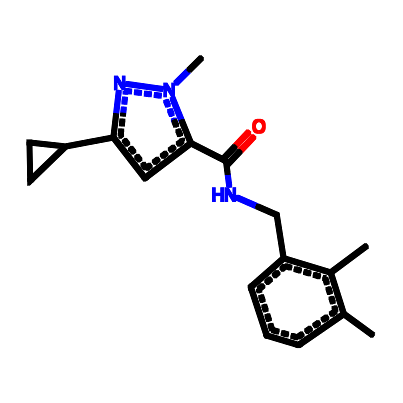 Cc1cccc(CNC(=O)c2cc(C3CC3)nn2C)c1C